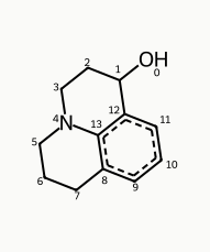 OC1CCN2CCCc3cccc1c32